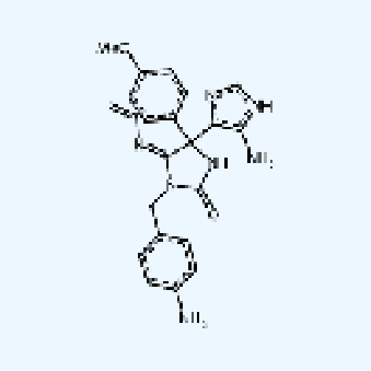 C=C/N=C1/N(Cc2ccc(N)cc2)C(=O)NC1(c1ccc(OC)cc1)c1nc[nH]c1N